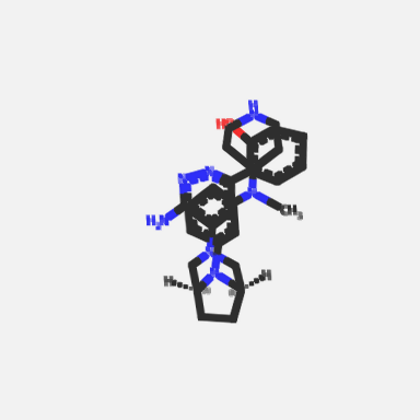 CN(c1cccc(N2[C@@H]3CC[C@H]2CN(c2cc(-c4ccccc4O)nnc2N)C3)c1)C1CCNCC1